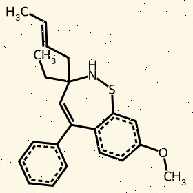 CC=CCC1(CC)C=C(c2ccccc2)c2ccc(OC)cc2SN1